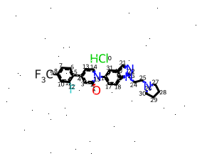 Cl.O=c1cc(-c2ccc(C(F)(F)F)cc2F)ccn1-c1ccc2c(cnn2CCN2CCCC2)c1